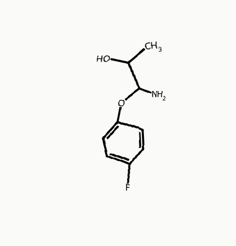 CC(O)C(N)Oc1ccc(F)cc1